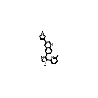 Cc1cccc(-c2[nH]cnc2-c2ccc3ncc(C4=CCN(C)C4)cc3c2)n1